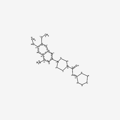 COc1cc2nc(N3CCN(C(=O)C=C4CCCCC4)CC3)nc(N)c2cc1OC